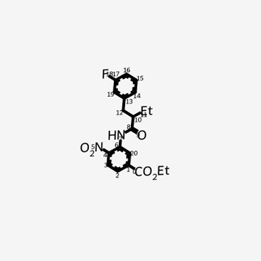 CCOC(=O)c1ccc([N+](=O)[O-])c(NC(=O)C(CC)Cc2cccc(F)c2)c1